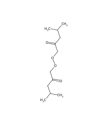 CC(C)CC(=O)COOCC(=O)CC(C)C